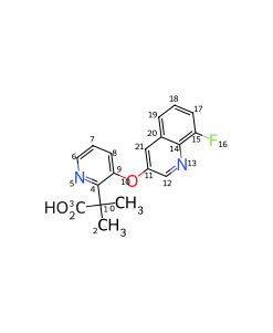 CC(C)(C(=O)O)c1ncccc1Oc1cnc2c(F)cccc2c1